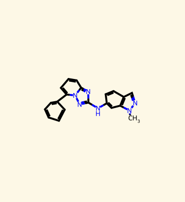 Cn1ncc2ccc(Nc3nc4cccc(-c5ccccc5)n4n3)cc21